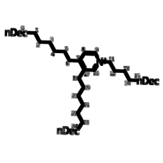 CCCCCCCCCCCCCCCCc1cc[n+](CCCCCCCCCCCCCC)cc1CCCCCCCCCCCCCCCC